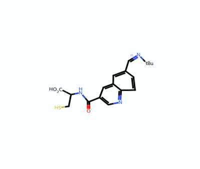 CC(C)(C)/N=C\c1ccc2ncc(C(=O)NC(CS)C(=O)O)cc2c1